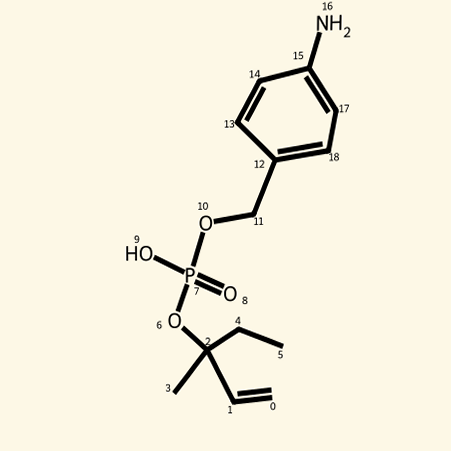 C=CC(C)(CC)OP(=O)(O)OCc1ccc(N)cc1